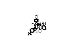 CC(C)(C)C1CCc2c(sc(NC(=O)[C@H]3CCCC[C@H]3C(=O)O)c2C(=O)Nc2ccc(Cl)cc2)C1